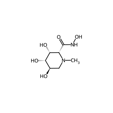 CN1C[C@@H](O)[C@H](O)[C@H](O)[C@@H]1C(=O)NO